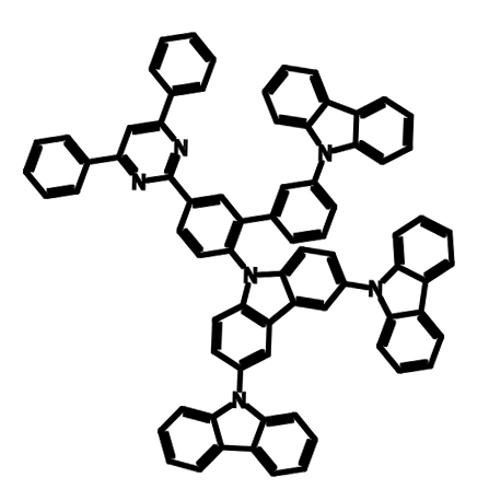 c1ccc(-c2cc(-c3ccccc3)nc(-c3ccc(-n4c5ccc(-n6c7ccccc7c7ccccc76)cc5c5cc(-n6c7ccccc7c7ccccc76)ccc54)c(-c4cccc(-n5c6ccccc6c6ccccc65)c4)c3)n2)cc1